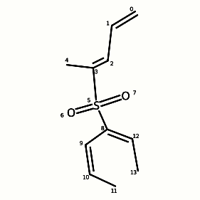 C=C/C=C(\C)S(=O)(=O)C(/C=C\C)=C/C